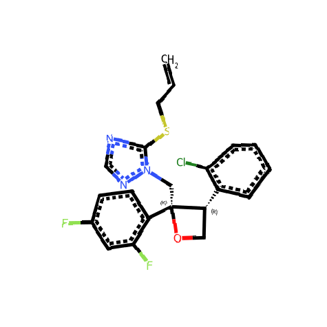 C=CCSc1ncnn1C[C@@]1(c2ccc(F)cc2F)OC[C@H]1c1ccccc1Cl